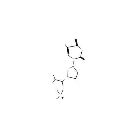 O=c1[nH]c(=O)n([C@H]2C[C@H](O)[C@@H](C(OP(=O)(O)O)C(F)F)O2)cc1F